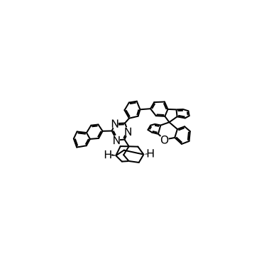 c1cc(-c2ccc3c(c2)C2(c4ccccc4Oc4ccccc42)c2ccccc2-3)cc(-c2nc(-c3ccc4ccccc4c3)nc(C34CC5C[C@H](C3)C[C@H](C5)C4)n2)c1